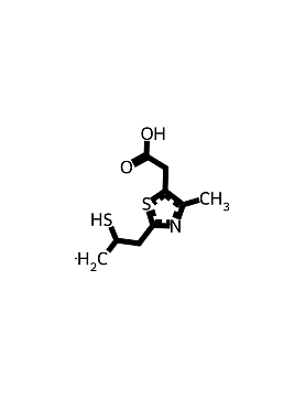 [CH2]C(S)Cc1nc(C)c(CC(=O)O)s1